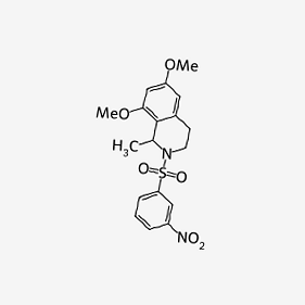 COc1cc2c(c(OC)c1)C(C)N(S(=O)(=O)c1cccc([N+](=O)[O-])c1)CC2